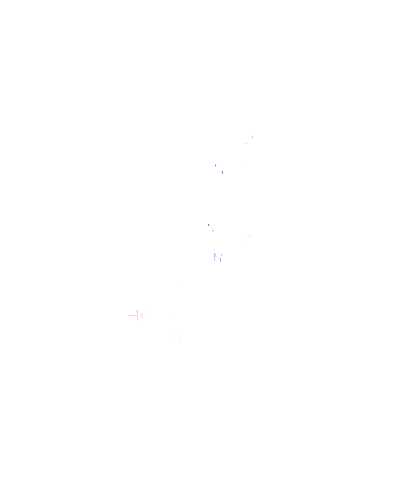 COc1ccc(C(=O)Nc2nc3c(C)cc(C(=O)O)cc3s2)cn1